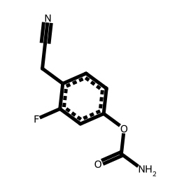 N#CCc1ccc(OC(N)=O)cc1F